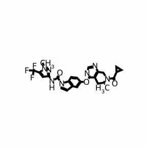 C[C@H]1Cc2c(ncnc2Oc2ccc3c(ccn3C(=O)Nc3cc(C(F)(F)F)n(C)n3)c2)CN1C(=O)C1CC1